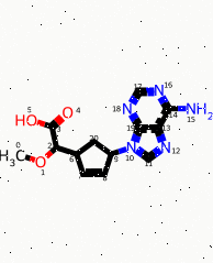 COC(C(=O)O)C1C=CC(n2cnc3c(N)ncnc32)C1